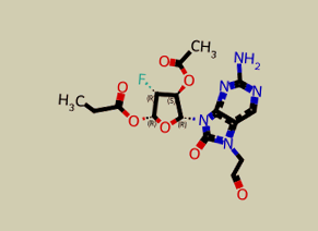 CCC(=O)O[C@H]1O[C@@H](n2c(=O)n(CC=O)c3cnc(N)nc32)[C@H](OC(C)=O)[C@H]1F